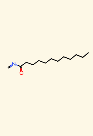 C=NC(=O)CCCCCCCCCCC